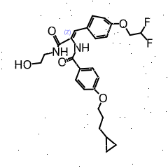 O=C(NCCO)/C(=C/c1ccc(OCC(F)F)cc1)NC(=O)c1ccc(OCCCC2CC2)cc1